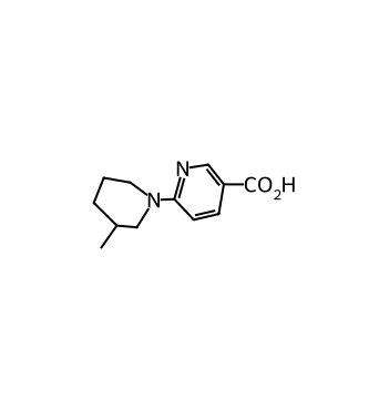 CC1CCCN(c2ccc(C(=O)O)cn2)C1